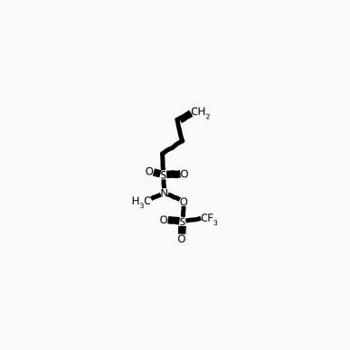 C=CCCS(=O)(=O)N(C)OS(=O)(=O)C(F)(F)F